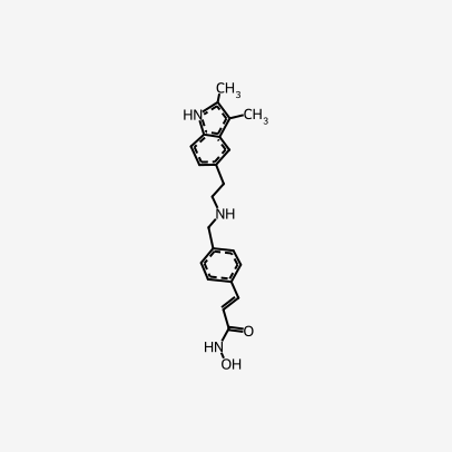 Cc1[nH]c2ccc(CCNCc3ccc(/C=C/C(=O)NO)cc3)cc2c1C